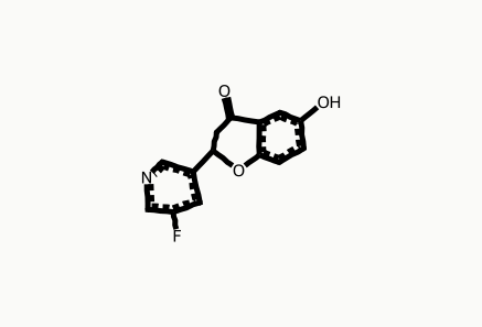 O=C1CC(c2cncc(F)c2)Oc2ccc(O)cc21